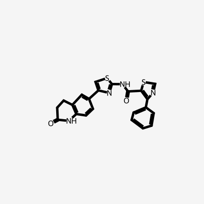 O=C1CCc2cc(-c3csc(NC(=O)c4scnc4-c4ccccc4)n3)ccc2N1